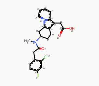 CN(C(=O)Cc1ccc(F)cc1Cl)[C@@H]1CCc2c(CC(=O)O)c3ccccn3c2C1